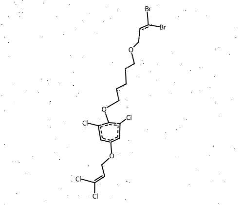 ClC(Cl)=CCOc1cc(Cl)c(OCCCCCOCC=C(Br)Br)c(Cl)c1